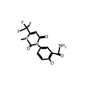 Cn1c(C(F)(F)F)cc(=O)n(-c2ccc(Cl)c(C(N)=O)c2)c1=O